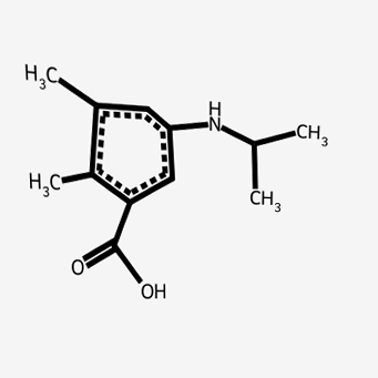 Cc1cc(NC(C)C)cc(C(=O)O)c1C